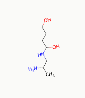 CC(N)CNC(O)CCCO